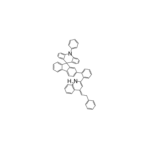 N/C(=C\C(=C/Cc1ccccc1)c1ccccc1)c1ccccc1-c1ccc2c(c1)C1(c3ccccc3-2)c2ccccc2N(c2ccccc2)c2ccccc21